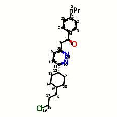 CCCc1ccc(C(=O)Cc2ccc([C@H]3CC[C@H](CCCCl)CC3)nn2)cc1